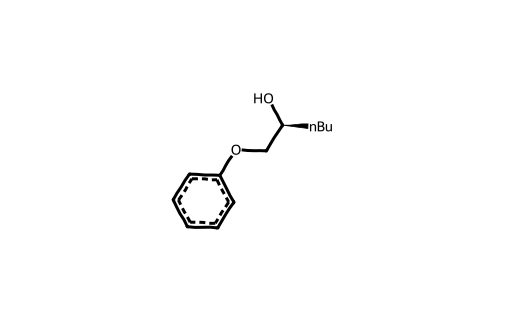 CCCC[C@H](O)COc1ccccc1